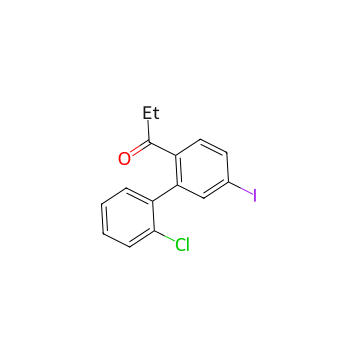 CCC(=O)c1ccc(I)cc1-c1ccccc1Cl